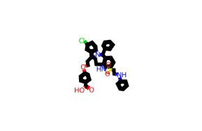 O=C(O)c1ccc(OCCc2c(CCNS(=O)(=O)CCNc3ccccc3)n(C(c3ccccc3)c3ccccc3)c3ccc(Cl)cc23)cc1